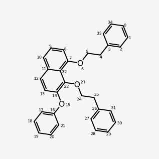 c1ccc(CCOc2cccc3ccc(Oc4ccccc4)c(OCCc4ccccc4)c23)cc1